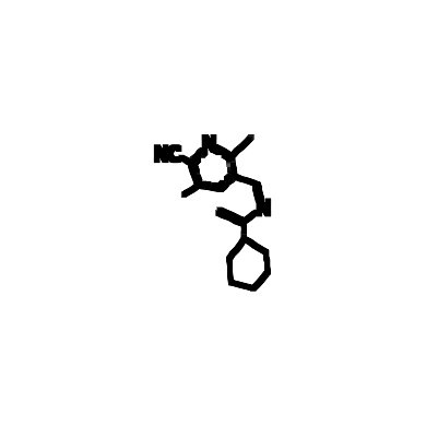 C=C(/N=C\c1cc(C)c(C#N)nc1C)C1CCCCC1